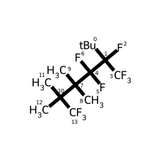 CC(C)(C)C(F)(C(F)(F)F)C(F)(F)C(C)(C)C(C)(C)C(F)(F)F